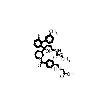 COC(=O)NCCCC(O)(c1cccc(F)c1-c1cccc(C)c1)C1CCCN(C(=O)c2ccc(CNCC(=O)O)cc2)C1